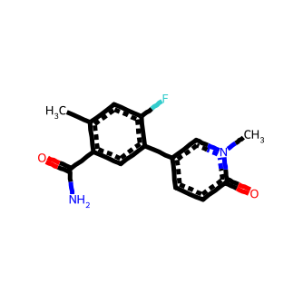 Cc1cc(F)c(-c2ccc(=O)n(C)c2)cc1C(N)=O